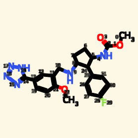 COC(=O)NC1CCC(NCc2cc(-c3nnn[nH]3)ccc2OC)C1c1ccc(F)cc1